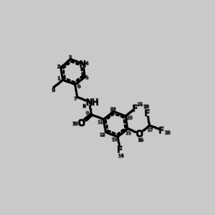 Cc1ccncc1CNC(=O)c1cc(F)c(OC(F)F)c(F)c1